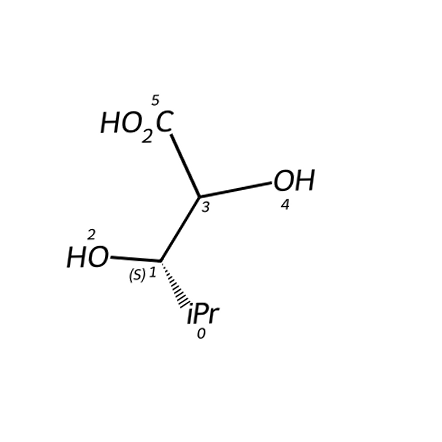 CC(C)[C@H](O)C(O)C(=O)O